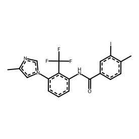 Cc1cn(-c2cccc(NC(=O)c3ccc(C)c(I)c3)c2C(F)(F)F)cn1